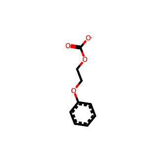 [O]C(=O)OCCOc1ccccc1